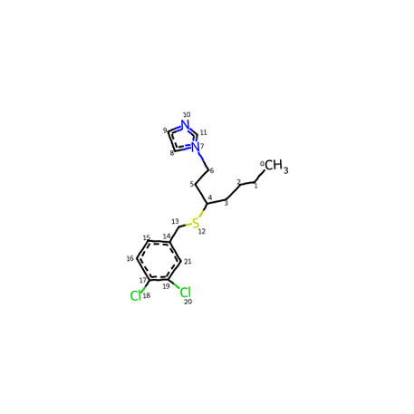 CCCCC(CCn1ccnc1)SCc1ccc(Cl)c(Cl)c1